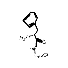 N[C@@H](Cc1ccccc1)C(=O)NC=O